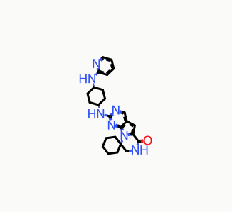 O=C1NCC2(CCCCC2)n2c1cc1cnc(N[C@H]3CC[C@H](Nc4ccccn4)CC3)nc12